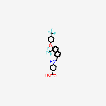 O=C(O)[C@H]1CC[C@@H](NCc2ccc3ccc(O[C@H]4CC[C@@H](C(F)(F)F)CC4)c(C(F)(F)F)c3c2)CC1